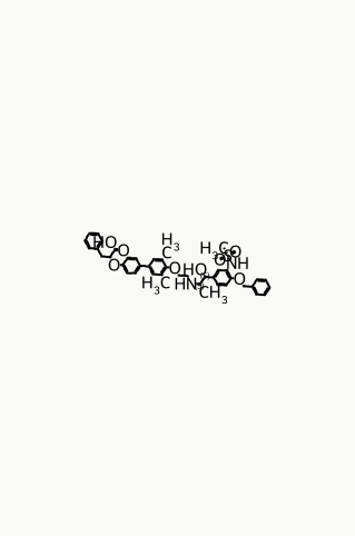 Cc1cc(-c2ccc(OC(Cc3ccccc3)C(=O)O)cc2)cc(C)c1OCCN[C@@H](C)[C@@H](O)c1ccc(OCc2ccccc2)c(NS(C)(=O)=O)c1